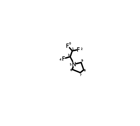 FC(F)C(F)N1CCCC1